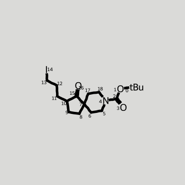 CC(C)(C)OC(=O)N1CCC2(CCC(CCCI)C2=O)CC1